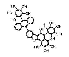 Oc1c(O)c(O)c(-c2c3ccccc3c(-c3ccc4oc5c6c(O)c(O)c(O)c7c6c(c(O)c5c4c3)-c3c(O)c(O)c(O)c(O)c3B7)c3ccccc23)c(O)c1O